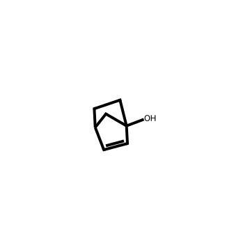 OC12C=CC(CC1)C2